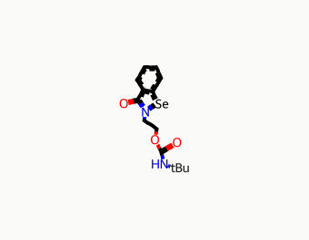 CC(C)(C)NC(=O)OCCn1[se]c2ccccc2c1=O